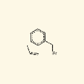 C=CC.CC(C)Cc1ccccc1